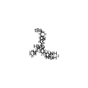 CC(C)(C)[C@H]1CCc2nc3sc(C(=O)N[C@H](CCN4CCCCC4)c4ccc(-c5cnc(O)c(N)c5)cc4)cc3cc2C1